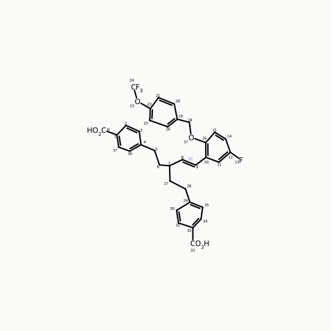 O=C(O)c1ccc(CCC(/C=C/c2cc(F)ccc2OCc2ccc(OC(F)(F)F)cc2)CCc2ccc(C(=O)O)cc2)cc1